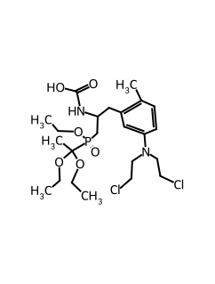 CCOC(C)(OCC)P(=O)(CC(Cc1cc(N(CCCl)CCCl)ccc1C)NC(=O)O)OCC